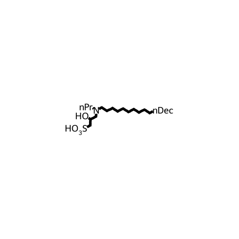 CCCCCCCCCCCCCCCCCCCCN(CCC)CC(O)CS(=O)(=O)O